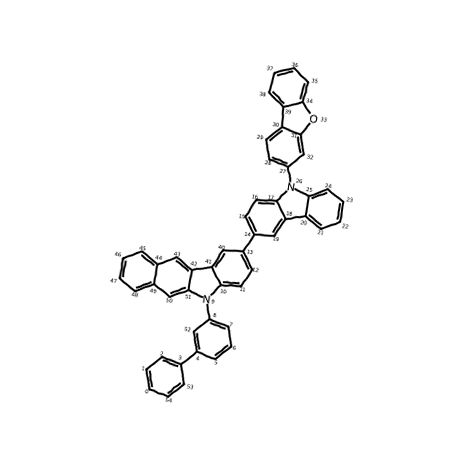 c1ccc(-c2cccc(-n3c4ccc(-c5ccc6c(c5)c5ccccc5n6-c5ccc6c(c5)oc5ccccc56)cc4c4cc5ccccc5cc43)c2)cc1